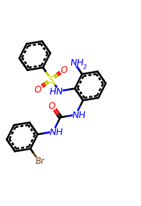 Nc1cccc(NC(=O)Nc2ccccc2Br)c1NS(=O)(=O)c1ccccc1